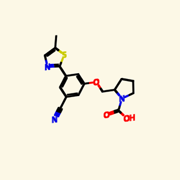 Cc1cnc(-c2cc(C#N)cc(OCC3CCCN3C(=O)O)c2)s1